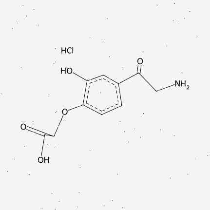 Cl.NCC(=O)c1ccc(OCC(=O)O)c(O)c1